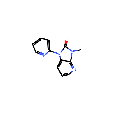 Cn1c(=O)n(-c2ccccn2)c2cccnc21